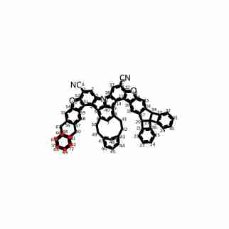 N#Cc1cc2c(c3c4cc(c5c6c7c(oc8cc9c(cc87)C7c8ccccc8C78c7ccccc7C98)c(C#N)cc6n2c35)CCc2cccc(c2)CC4)c2c1oc1cc3c(cc12)C1c2ccccc2C3c2ccccc21